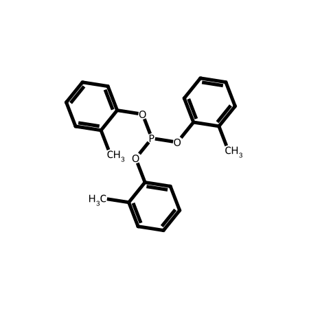 Cc1ccccc1OP(Oc1ccccc1C)Oc1ccccc1C